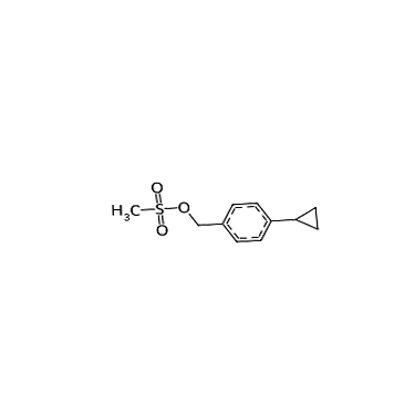 CS(=O)(=O)OCc1ccc(C2CC2)cc1